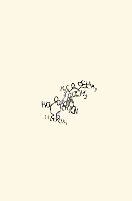 C=C1CCC(O)CC(=O)OC(/C(C)=C/C=C/C(C)C(OC(=O)NCc2cccnc2)C2OC2C(C)C(CC)OC)C(C)/C=C/C1OC(C)=O